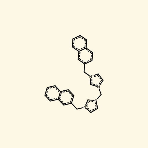 c1ccc2cc(C[n+]3ccn(Cn4cc[n+](Cc5ccc6ccccc6c5)c4)c3)ccc2c1